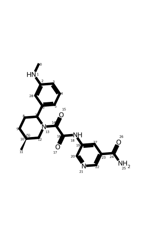 CNc1cccc(C2CC[C@H](C)CN2C(=O)C(=O)Nc2cncc(C(N)=O)c2)c1